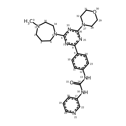 CN1CCCN(c2nc(-c3ccc(NC(=O)Nc4cccnc4)cc3)nc(N3CCOCC3)n2)CC1